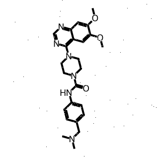 COc1cc2ncnc(N3CCN(C(=O)Nc4ccc(CN(C)C)cc4)CC3)c2cc1OC